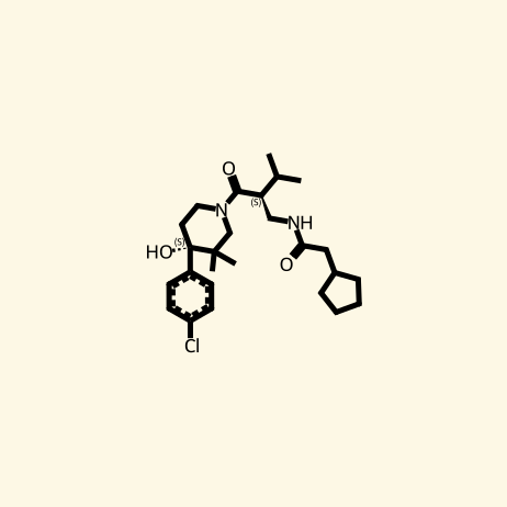 CC(C)[C@@H](CNC(=O)CC1CCCC1)C(=O)N1CC[C@](O)(c2ccc(Cl)cc2)C(C)(C)C1